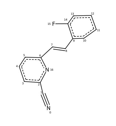 N#Cc1cccc(/C=C/c2ccccc2F)n1